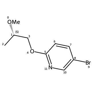 CO[C@@H](C)COc1ccc(Br)cn1